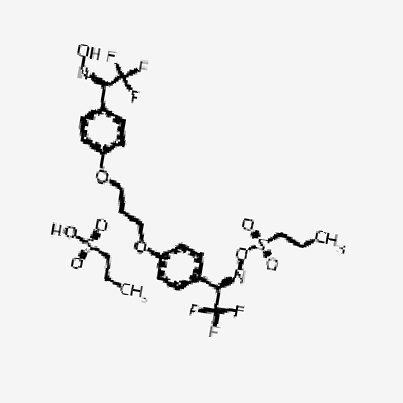 CCCS(=O)(=O)O.CCCS(=O)(=O)O/N=C(\c1ccc(OCCCOc2ccc(/C(=N/O)C(F)(F)F)cc2)cc1)C(F)(F)F